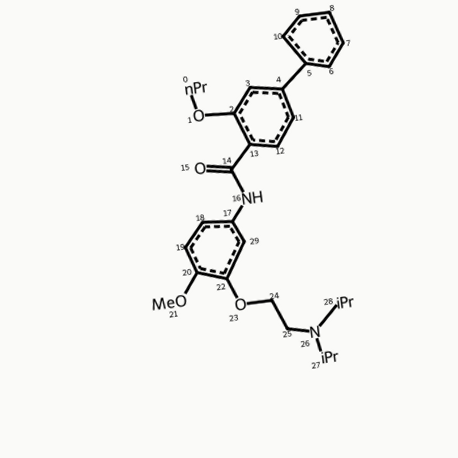 CCCOc1cc(-c2ccccc2)ccc1C(=O)Nc1ccc(OC)c(OCCN(C(C)C)C(C)C)c1